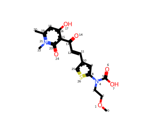 COCCN(C(=O)O)c1cc(C=CC(=O)c2c(O)cc(C)n(C)c2=O)cs1